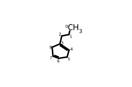 CCCC1=CCC=CC1